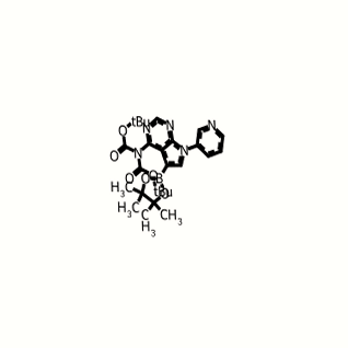 CC(C)(C)OC(=O)N(C(=O)OC(C)(C)C)c1ncnc2c1c(B1OC(C)(C)C(C)(C)O1)cn2-c1cccnc1